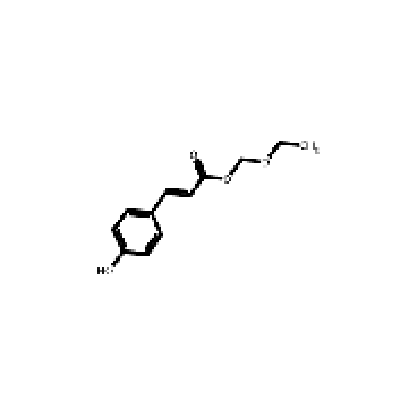 CCOCOC(=O)C=Cc1ccc(O)cc1